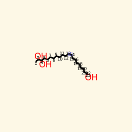 CC(O)C(O)CCCCCCCC/C=C\CCCCCCCCO